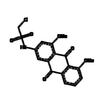 COc1cccc2c1C(=O)c1c(OC)cc(NS(=O)(=O)CCl)cc1C2=O